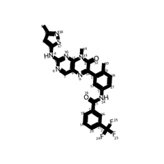 Cc1cc(Nc2ncc3nc(-c4cc(NC(=O)c5cccc(C(F)(F)F)c5)ccc4C)c(=O)n(C)c3n2)sn1